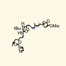 CC#CCC(C/C=C\NC(=O)[C@@H](NC(=O)\C=C/C=C\C(C)=C\[C@H](C)[C@@H]1CC=C(OC)C(=O)O1)C(C)(C)C)OC(=O)n1ccnc1